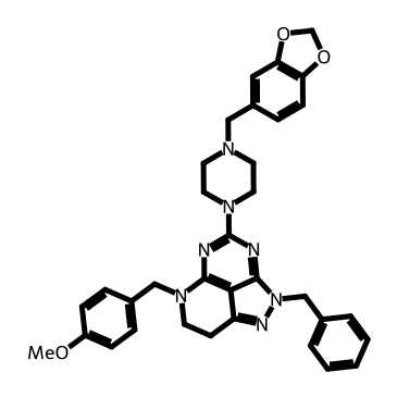 COc1ccc(CN2CCc3nn(Cc4ccccc4)c4nc(N5CCN(Cc6ccc7c(c6)OCO7)CC5)nc2c34)cc1